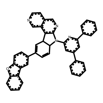 C1=CC2C(C=C1c1ccc3oc4ccccc4c3c1)c1c(ncc3ccncc13)N2c1cc(-c2ccccc2)cc(-c2ccccc2)n1